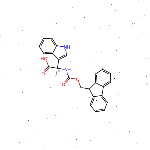 C[C@](NC(=O)OCC1c2ccccc2-c2ccccc21)(C(=O)O)c1c[nH]c2ccccc12